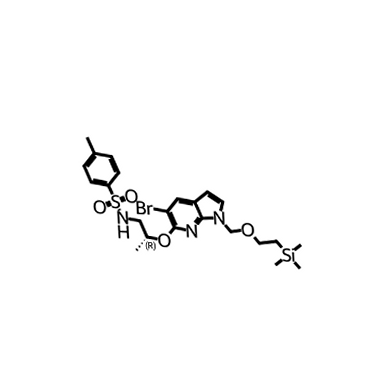 Cc1ccc(S(=O)(=O)NC[C@@H](C)Oc2nc3c(ccn3COCC[Si](C)(C)C)cc2Br)cc1